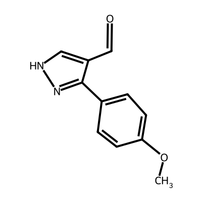 COc1ccc(-c2n[nH]cc2C=O)cc1